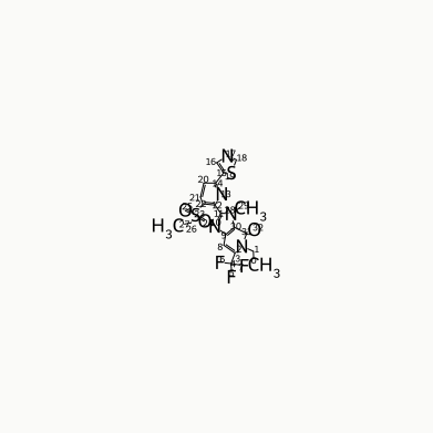 CCn1c(C(F)(F)F)cc2nc(-c3nc(-c4cncs4)ccc3S(=O)(=O)CC)n(C)c2c1=O